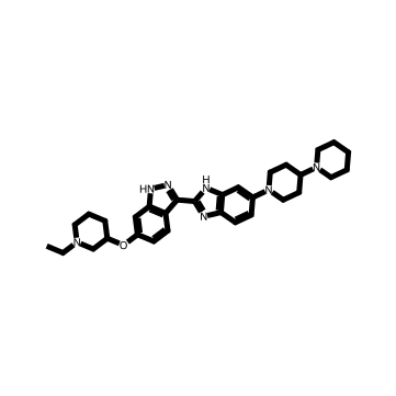 CCN1CCCC(Oc2ccc3c(-c4nc5ccc(N6CCC(N7CCCCC7)CC6)cc5[nH]4)n[nH]c3c2)C1